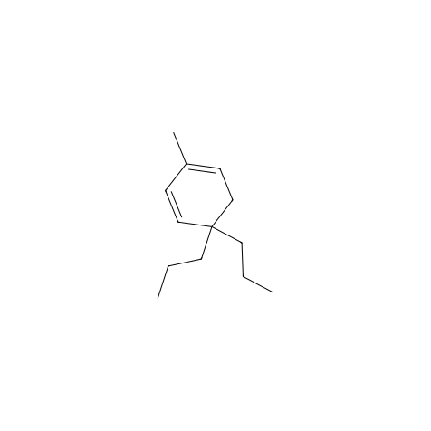 CCCC1(CCC)C=CC(C)=CC1